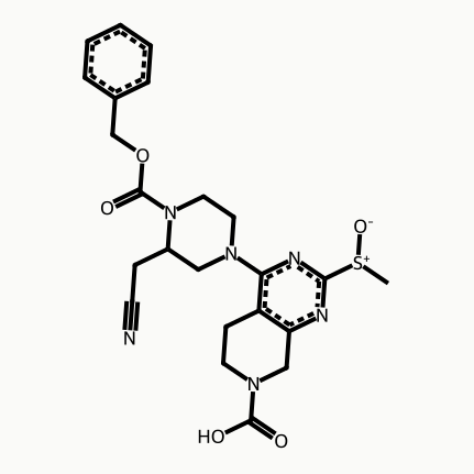 C[S+]([O-])c1nc2c(c(N3CCN(C(=O)OCc4ccccc4)C(CC#N)C3)n1)CCN(C(=O)O)C2